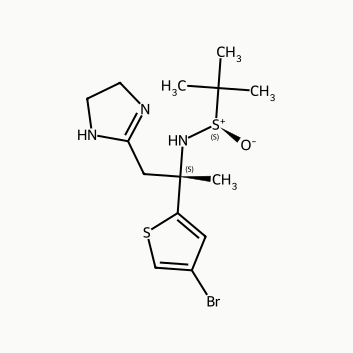 CC(C)(C)[S@@+]([O-])N[C@@](C)(CC1=NCCN1)c1cc(Br)cs1